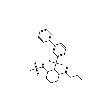 CCCC(=O)N1CCCC(NS(C)(=O)=O)C1C(F)(F)c1cccc(-c2ccccc2)c1